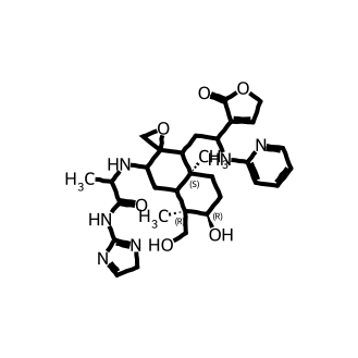 CC(NC1CC2[C@](C)(CC[C@@H](O)[C@@]2(C)CO)C(CC(Nc2ccccn2)C2=CCOC2=O)C12CO2)C(=O)NC1=NCC=N1